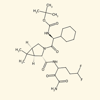 CC(C)(C)OC(=O)N[C@H](C(=O)N1C[C@H]2[C@@H]([C@H]1C(=O)NC(CCC(F)F)C(=O)C(N)=O)C2(C)C)C1CCCCC1